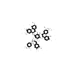 O=[N+]([O-])c1ccc(-c2nc3c4nc(-c5ccc([N+](=O)[O-])c([N+](=O)[O-])c5)c(-c5ccc([N+](=O)[O-])c([N+](=O)[O-])c5)nc4c4nc(S(=O)(=O)c5ccc([N+](=O)[O-])c([N+](=O)[O-])c5)c(-c5ccc([N+](=O)[O-])c([N+](=O)[O-])c5)nc4c3nc2-c2ccc([N+](=O)[O-])c([N+](=O)[O-])c2)cc1[N+](=O)[O-]